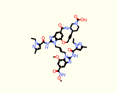 CCn1nc(C)cc1C(=O)Nc1nc2cc(C(=O)NOC)cc(OC)c2n1CC=CCn1c(NC(=O)c2cc(C)nn2CC)nc2cc(C(N)=O)cc(OCC#CC3CCN(C(=O)O)CC3)c21